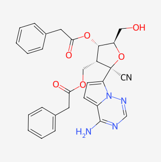 N#C[C@@]1(c2ccc3c(N)ncnn23)O[C@H](CO)[C@@H](OC(=O)Cc2ccccc2)[C@H]1COC(=O)Cc1ccccc1